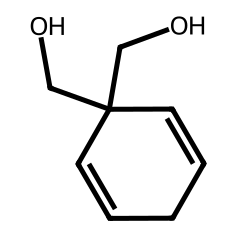 OCC1(CO)C=CCC=C1